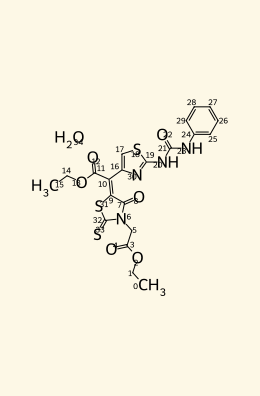 CCOC(=O)CN1C(=O)C(=C(C(=O)OCC)c2csc(NC(=O)Nc3ccccc3)n2)SC1=S.O